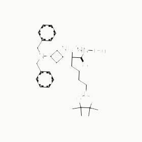 CC(=O)NC(CCCCB1OC(C)(C)C(C)(C)O1)(C(=O)NC(C)(C)C)[C@H]1C[C@H](N(Cc2ccccc2)Cc2ccccc2)C1